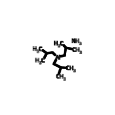 CC(C)[CH2][Al]([CH2]C(C)C)[CH2]C(C)C.N